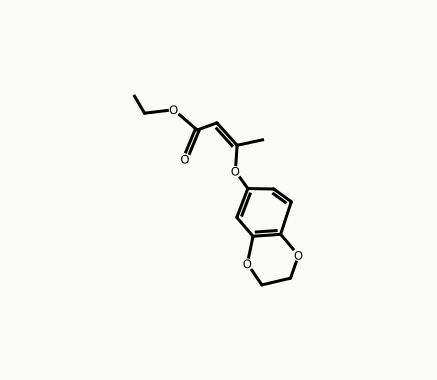 CCOC(=O)/C=C(/C)Oc1ccc2c(c1)OCCO2